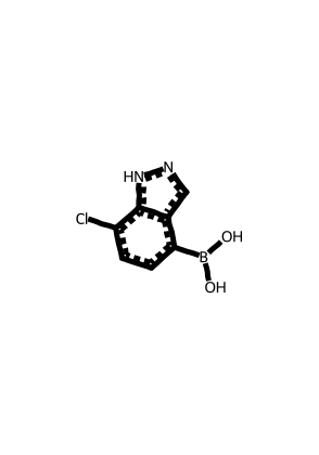 OB(O)c1ccc(Cl)c2[nH]ncc12